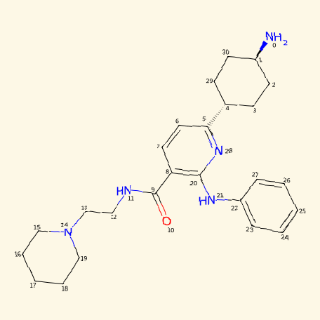 N[C@H]1CC[C@H](c2ccc(C(=O)NCCN3CCCCC3)c(Nc3ccccc3)n2)CC1